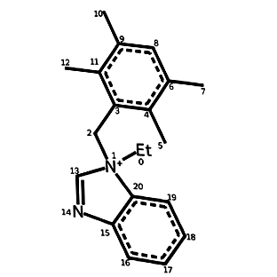 CC[N+]1(Cc2c(C)c(C)cc(C)c2C)C=Nc2ccccc21